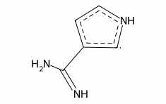 N=C(N)c1[c][nH]cc1